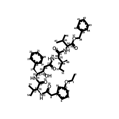 CCOc1cccc(CC(=O)N[C@H](C(=O)N[C@@H](Cc2ccccc2)[C@@H](O)CC(=O)N[C@H](C(=O)N[C@H](C(=O)OCc2ccccc2)C(C)C)[C@@H](C)CC)C(C)C)c1